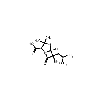 CN(C)CC1(N)C(=O)N2[C@@H](C(=O)O)C(C)(C)S[C@@H]21